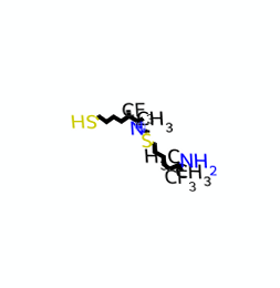 C/C(=N\CSCCCCC(C(C)(C)N)C(F)(F)F)C(CCCCS)C(F)(F)F